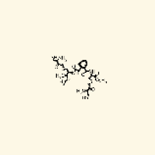 C=C(OC)C(CSSC(=O)[C@@H](N)CS)NC(=O)Cc1ccccc1C(=O)NC(CSSC(=O)[C@@H](N)CS)C(=O)OC